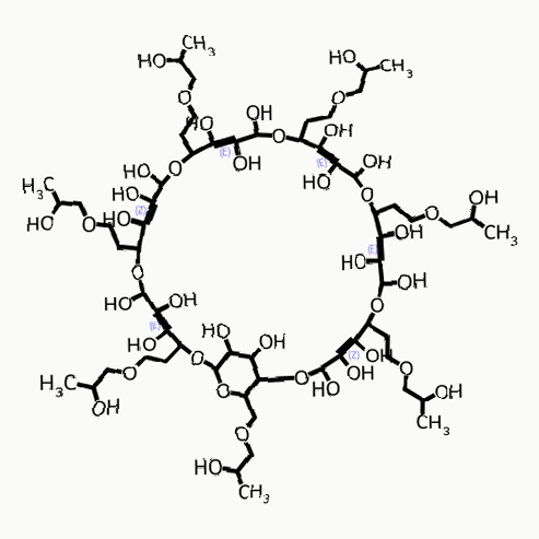 CC(O)COCCC1OC(O)/C(O)=C(\O)C(CCOCC(C)O)OC(O)/C(O)=C(\O)C(CCOCC(C)O)OC(O)/C(O)=C(\O)C(CCOCC(C)O)OC(O)/C(O)=C(/O)C(CCOCC(C)O)OC(O)/C(O)=C(\O)C(CCOCC(C)O)OC2OC(COCC(C)O)C(OC(O)/C(O)=C\1O)C(O)C2O